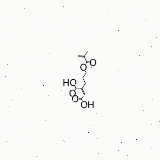 C=C(C)C(=O)OCCC/C(=C/C(=O)O)C(=O)O